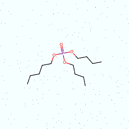 CCCCCOP(=O)(OCCCC)OCCCC